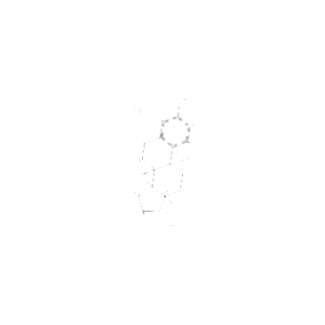 Cc1c(O)ccc2c1CC[C@@H]1[C@@H]2CC[C@]2(C)[C@H](O)CC[C@@H]12